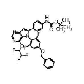 CC(C)(C)OC(=O)Nc1ccc(-c2cc3ncnc(OC(F)C(F)F)c3n2-c2c(F)cc(OCc3ccccc3)cc2F)cc1